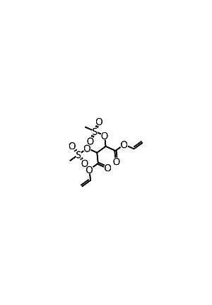 C=COC(=O)C(OS(C)(=O)=O)C(OS(C)(=O)=O)C(=O)OC=C